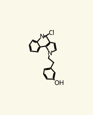 Oc1cccc(CCn2ccc3c(Cl)nc4ccccc4c32)c1